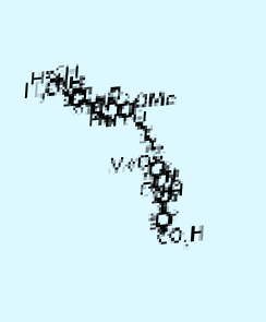 COc1cc2c(cc1OCCCCCOc1cc3c(cc1OC)C(=O)N1C=C(c4ccc(C(=O)O)cc4)C[C@H]1C=N3)N=C[C@@H]1CC(c3ccc(CNC(C)(C)S)cc3)=CN1C2=O